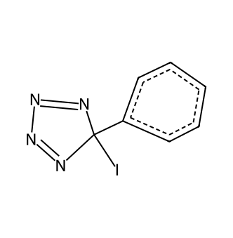 IC1(c2ccccc2)N=NN=N1